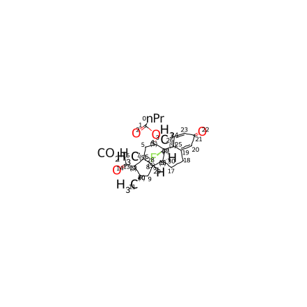 CCCC(=O)O[C@H]1C[C@@]2(C)[C@@H](C[C@@H](C)[C@@H]2C(=O)C(=O)O)[C@@H]2CCC3=CC(=O)C=C[C@]3(C)[C@@]12F